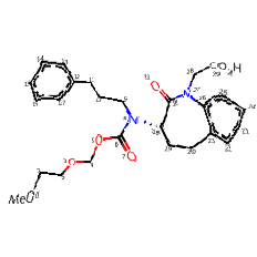 COCCOCOC(=O)N(CCCc1ccccc1)[C@H]1CCc2ccccc2N(CC(=O)O)C1=O